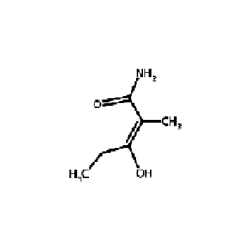 CCC(O)=C(C)C(N)=O